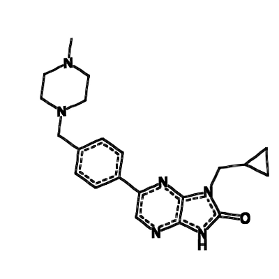 CN1CCN(Cc2ccc(-c3cnc4[nH]c(=O)n(CC5CC5)c4n3)cc2)CC1